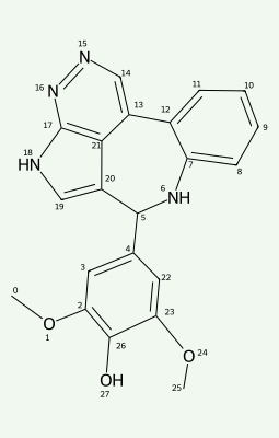 COc1cc(C2Nc3ccccc3-c3cnnc4[nH]cc2c34)cc(OC)c1O